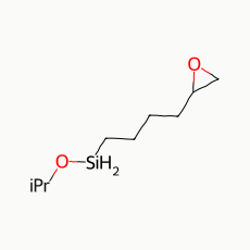 CC(C)O[SiH2]CCCCC1CO1